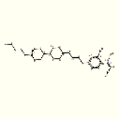 CCCCC[SiH]1CCC(C2CCC(CCCCc3ccc(/C(F)=C\F)c(F)c3)CC2)CC1